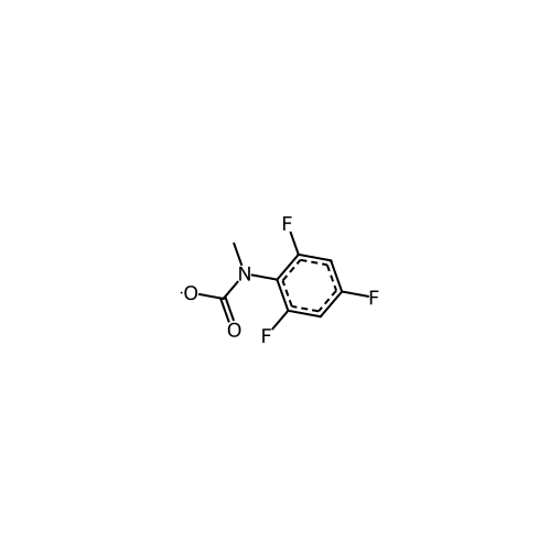 CN(C([O])=O)c1c(F)cc(F)cc1F